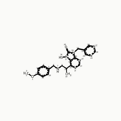 COc1ccc(CNCC(C)c2ncnc3c2n(S)c(=O)n3Cc2cncnc2)cc1